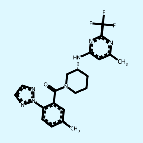 Cc1ccc(-n2nccn2)c(C(=O)N2CCC[C@@H](Nc3cc(C)nc(C(F)(F)F)n3)C2)c1